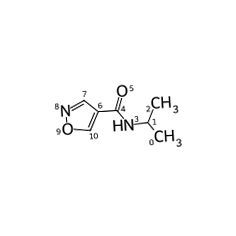 CC(C)NC(=O)c1cnoc1